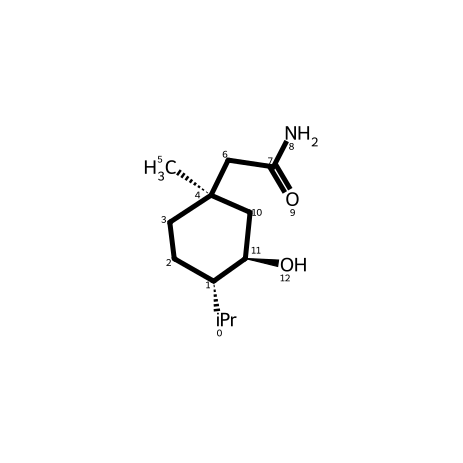 CC(C)[C@@H]1CC[C@@](C)(CC(N)=O)C[C@H]1O